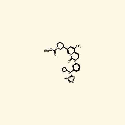 Cn1cnnc1[C@@H](c1cccc([C@H]2CC=C3C(C(F)(F)F)=CC(C4CCCN(C(=O)OC(C)(C)C)C4)=CN3C2=O)c1)C1CCC1